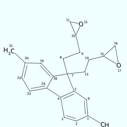 Cc1ccc2c(c1)C(CCC1CO1)(CCC1CO1)c1cc(C)ccc1-2